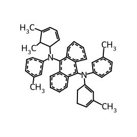 CC1=CCCC(N(c2cccc(C)c2)c2c3ccccc3c(N(c3cccc(C)c3)C3C=CC=C(C)C3C)c3ccccc23)=C1